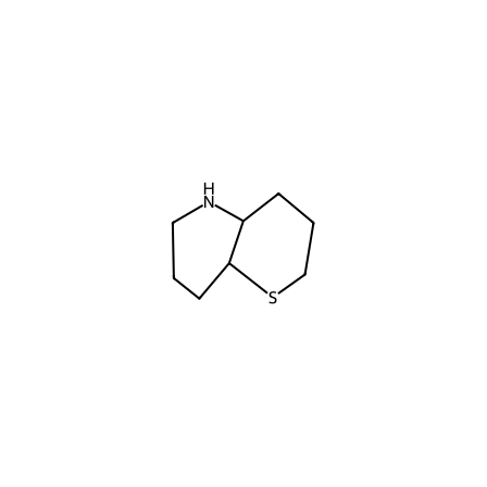 C1CSC2CCCNC2C1